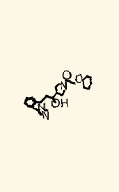 O=C(COC1CCCCC1)N1CCC(C(O)CC2c3ccccc3-c3cncn32)CC1